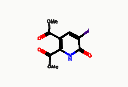 COC(=O)c1cc(I)c(=O)[nH]c1C(=O)OC